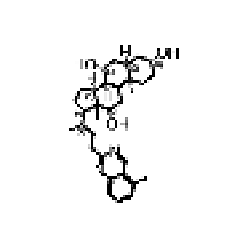 Cc1cccc2nc(CC[C@@H](C)[C@H]3CC[C@H]4[C@H]5C(C[C@H](O)[C@]34C)[C@@]3(C)CC[C@@H](O)C[C@H]3C[C@H]5O)ncc12